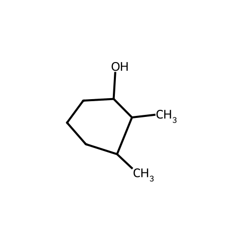 CC1CCCC(O)C1C